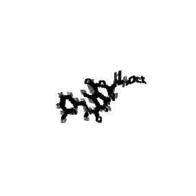 CCCCCCCCNc1nc2sc(C(=O)N(C)Cc3cccc(C)n3)c(C)c2c(=O)o1